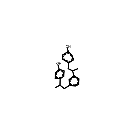 CC(Cc1cccc(C(C)Cc2ccc(O)cc2)c1)c1ccc(O)cc1